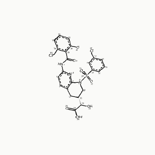 O=C(Nc1ccc2c(n1)N(S(=O)(=O)c1cccc(Cl)c1)C[C@H](C(O)C(=O)O)C2)c1c(Cl)cccc1Cl